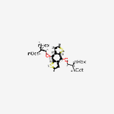 CCCCCCCCC(CCCCCC)COc1c2ccsc2c(OCC(CCCCCC)CCCCCCCC)c2ccsc12